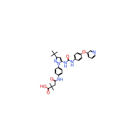 CC(C)(CC(=O)Nc1ccc(-n2nc(C(C)(C)C)cc2NC(=O)Nc2ccc(Oc3cccnc3)cc2)cc1)C(=O)O